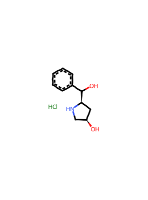 Cl.OC(c1ccccc1)[C@H]1C[C@@H](O)CN1